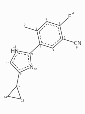 Cc1cc(F)c(C#N)cc1-c1nc(C2CC2)c[nH]1